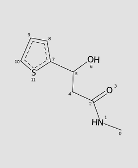 CNC(=O)CC(O)c1cccs1